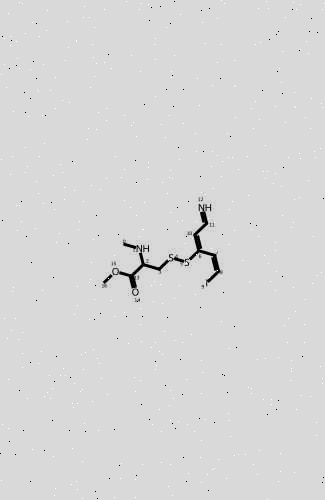 CNC(CSSC(/C=C\I)=C/C=N)C(=O)OC